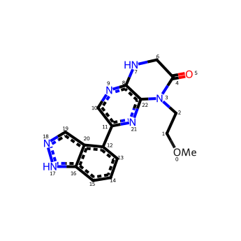 COCCN1C(=O)CNc2ncc(-c3cccc4[nH]ncc34)nc21